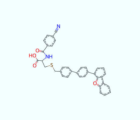 N#Cc1ccc(C(=O)NC(CSCc2ccc(-c3ccc(-c4cccc5c4oc4ccccc45)cc3)cc2)C(=O)O)cc1